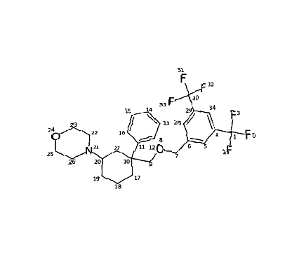 FC(F)(F)c1cc(COCC2(c3ccccc3)CCCC(N3CCOCC3)C2)cc(C(F)(F)F)c1